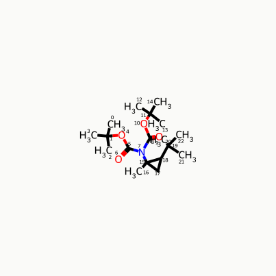 CC(C)(C)OC(=O)N(C(=O)OC(C)(C)C)C1(C)CC1C(C)(C)C